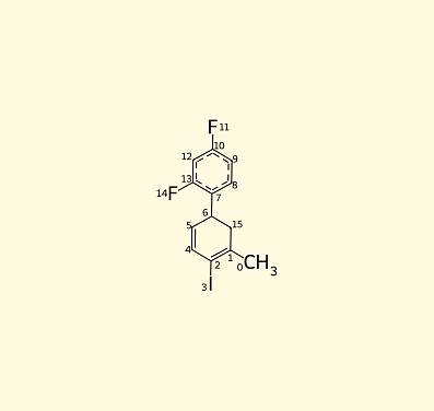 CC1=C(I)C=CC(c2ccc(F)cc2F)C1